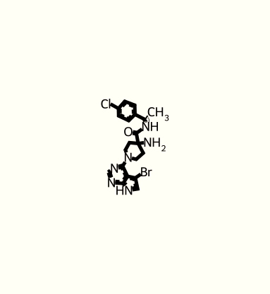 C[C@H](NC(=O)C1(N)CCN(c2ncnc3[nH]cc(Br)c23)CC1)c1ccc(Cl)cc1